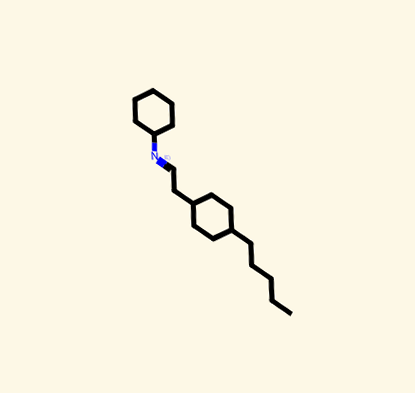 CCCCCC1CCC(C/C=N/C2CCCCC2)CC1